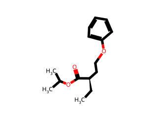 CC[C@H](CCOc1ccccc1)C(=O)OC(C)C